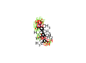 Cc1cc(C(C)(C)c2c(C)cc(C(C)(C)c3cc(C)c(/C(=C/C(O)(C(F)(F)F)C(F)(F)F)CC(O)(C(F)(F)F)C(F)(F)F)c(C(O)(C(F)(F)F)C(F)(F)F)c3)cc2C(O)(C(F)(F)F)C(F)(F)F)cc(C(O)(C(F)(F)F)C(F)(F)F)c1O